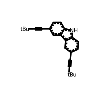 CC(C)(C)C#Cc1ccc2[nH]c3ccc(C#CC(C)(C)C)cc3c2c1